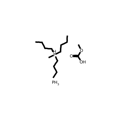 CCCC[PH](C)(CCCC)CCCC.COC(=O)O.P